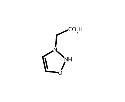 O=C(O)CN1C=CON1